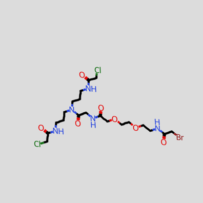 O=C(CCl)NCCCN(CCCNC(=O)CCl)C(=O)CNC(=O)COCCOCCNC(=O)CBr